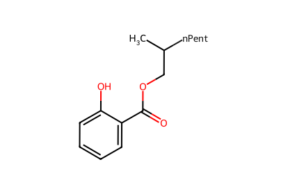 CCCCCC(C)COC(=O)c1ccccc1O